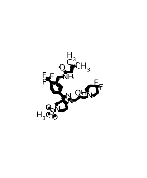 CC(C)=CC(=O)NCc1cc(-c2nn(CC(O)CN3CCC(F)(F)CC3)c3c2CN(S(C)(=O)=O)CC3)ccc1C(F)(F)F